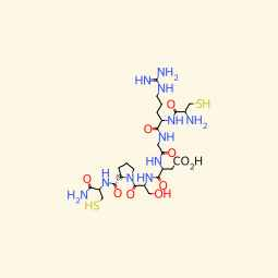 N=C(N)NCCCC(NC(=O)C(N)CS)C(=O)NCC(=O)NC(CC(=O)O)C(=O)NC(CO)C(=O)N1CCC[C@H]1C(=O)NC(CS)C(N)=O